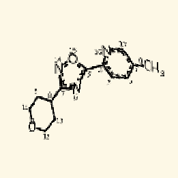 Cc1ccc(-c2nc(C3CCOCC3)no2)nc1